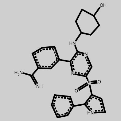 N=C(N)c1cccc(-c2nc(S(=O)(=O)c3cc[nH]c3-c3ccccc3)cnc2NC2CCC(O)CC2)c1